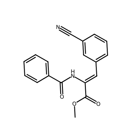 COC(=O)C(=Cc1cccc(C#N)c1)NC(=O)c1ccccc1